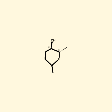 CC1CC[C@@H](O)[C@H](C)O1